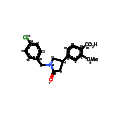 COc1cc(C2CC(=O)N(Cc3ccc(Cl)cc3)C2)ccc1C(=O)O